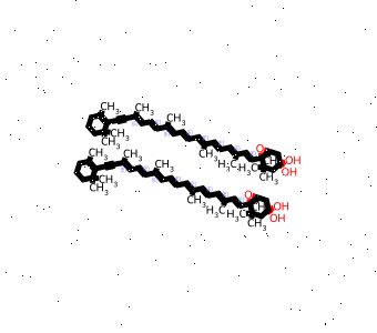 CC1=C(C#C/C(C)=C/C=C/C(C)=C/C=C/C=C(C)/C=C/C=C(C)/C=C/C23OC2(C)CC(O)(O)CC3(C)C)C(C)(C)CCC1.CC1=C(C#C/C(C)=C/C=C/C(C)=C/C=C/C=C(C)/C=C/C=C(C)/C=C/C23OC2(C)CC(O)(O)CC3(C)C)C(C)(C)CCC1